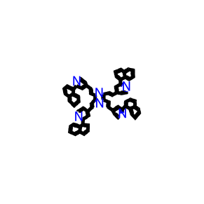 C(=Cc1nc(C=Cc2ccnc(-c3cccc4ccccc34)c2)c(C=Cc2ccnc(-c3cccc4ccccc34)c2)nc1C=Cc1ccnc(-c2cccc3ccccc23)c1)c1ccnc(-c2cccc3ccccc23)c1